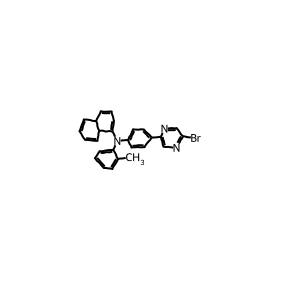 Cc1ccccc1N(C1=CC=CC2C=CC=CC12)c1ccc(-c2cnc(Br)cn2)cc1